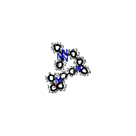 C1=C(C2=Cc3c(n(-c4ccccc4-c4ccccc4)c4ccccc34)CC2)CCC(n2c3ccccc3c3ccc(-c4cccc(-c5nc(-c6ccccc6)nc(-c6ccccc6)n5)c4)cc32)=C1